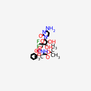 CC(C)OC(=O)[C@H](C)NP(=O)(OC[C@@]1(C(F)F)O[C@@H](n2ccc(N)nc2=O)[C@H](O)[C@@H]1O)Oc1ccccc1